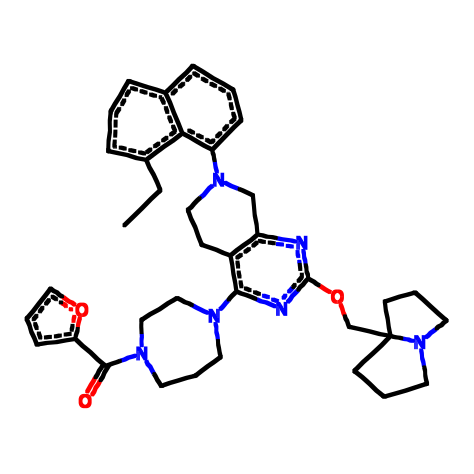 CCc1cccc2cccc(N3CCc4c(nc(OCC56CCCN5CCC6)nc4N4CCCN(C(=O)c5ccco5)CC4)C3)c12